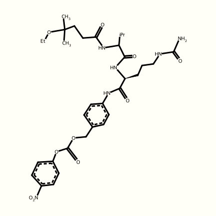 CCOC(C)(C)CCC(=O)NC(C(=O)N[C@@H](CCCNC(N)=O)C(=O)Nc1ccc(COC(=O)Oc2ccc([N+](=O)[O-])cc2)cc1)C(C)C